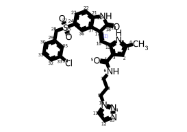 Cc1cc(C(=O)NCCCn2ccnn2)c(/C=C2\C(=O)Nc3ccc(S(=O)(=O)Cc4cccc(Cl)c4)cc32)[nH]1